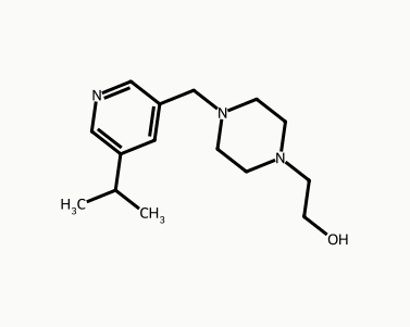 CC(C)c1cncc(CN2CCN(CCO)CC2)c1